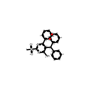 CC(C)c1nc(S(C)(=O)=O)nc(-c2ccccc2)c1[C](c1ccccc1)c1ccccc1